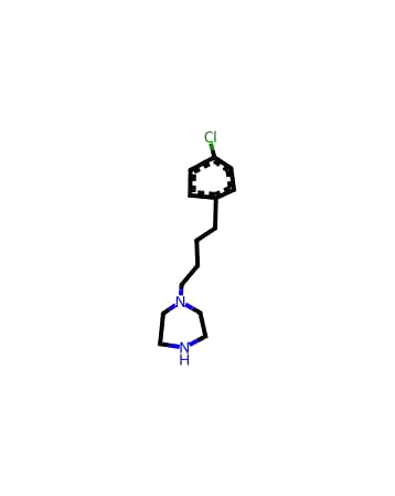 Clc1ccc(CCCCN2CCNCC2)cc1